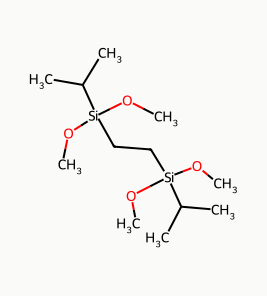 CO[Si](CC[Si](OC)(OC)C(C)C)(OC)C(C)C